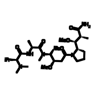 CC[C@H](C)[C@@H]([C@@H](CC(=O)N1CCC[C@H]1[C@H](OC)[C@@H](C)C(N)=O)OC)N(C)C(=O)[C@H](C)NC(=O)[C@H](C(C)C)N(C)C